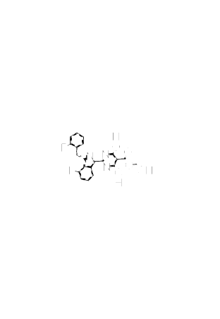 CCOC(=O)c1c(O)nc(-c2nn(Cc3ccccc3F)c3c(F)cccc23)nc1O